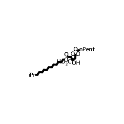 CCCCCC(=O)OC(=O)CC(O)(CC(=O)OCCCCCCCCCCCCC(C)C)C(=O)O